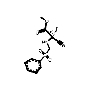 COC(=O)[C@@](F)(C#N)NCS(=O)(=O)c1ccccc1